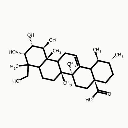 C[C@@H]1CC[C@]2(C(=O)O)CC[C@]3(C)C(=CCC4[C@]5(C)C(CC[C@]43C)C(C)(CO)[C@H](O)[C@H](O)[C@H]5O)C2[C@H]1C